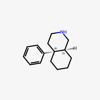 c1ccc([C@@]23CCCC[C@@H]2CNCC3)cc1